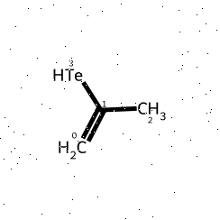 C=C(C)[TeH]